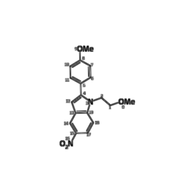 COCCn1c(-c2ccc(OC)cc2)cc2cc([N+](=O)[O-])ccc21